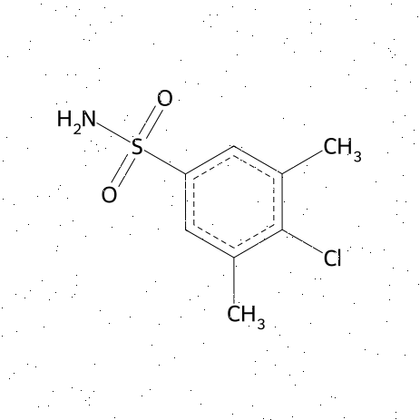 Cc1cc(S(N)(=O)=O)cc(C)c1Cl